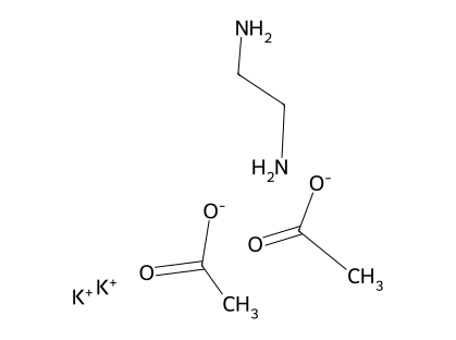 CC(=O)[O-].CC(=O)[O-].NCCN.[K+].[K+]